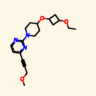 CCOC1CC(OC2CCN(c3nccc(C#CCOC)n3)CC2)C1